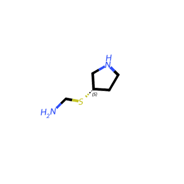 NCS[C@H]1CCNC1